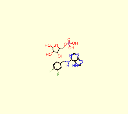 Fc1ccc(CNc2ncnc3nc[nH]c23)cc1F.O=P(O)(O)OC[C@H]1OC(O)[C@H](O)[C@@H]1O